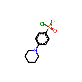 O=S(=O)(Cl)c1ccc(N2CCCCC2)cc1